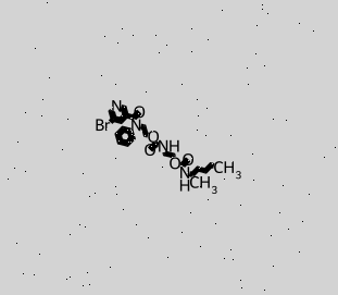 CCCCC(C)NC(=O)OCCNC(=O)OCCN(C(=O)c1cncc(Br)c1)c1ccccc1